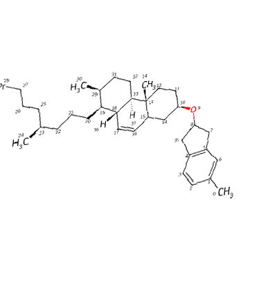 Cc1ccc2c(c1)CC(O[C@@H]1CC[C@]3(C)C(C=C[C@@H]4[C@@H](CCC[C@@H](C)CCCC(C)C)[C@@H](C)CC[C@H]43)C1)C2